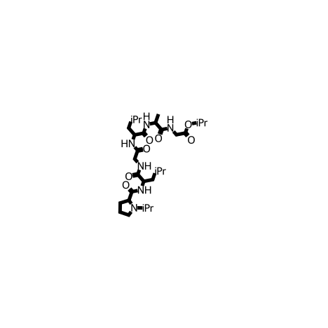 CC(C)CC(NC(=O)CNC(=O)C(CC(C)C)NC(=O)C1CCCN1C(C)C)C(=O)NC(C)C(=O)NCC(=O)OC(C)C